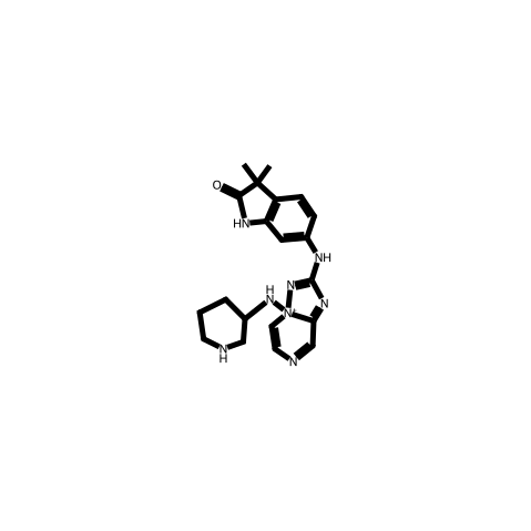 CC1(C)C(=O)Nc2cc(NC3=N[N+]4(NC5CCCNC5)C=CN=CC4=N3)ccc21